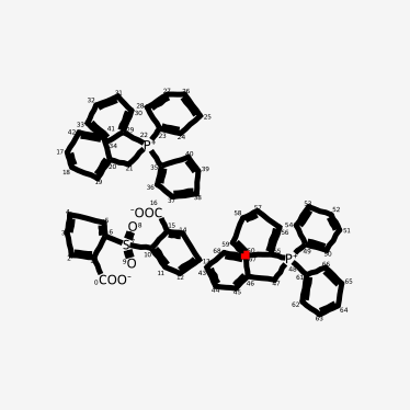 O=C([O-])c1ccccc1S(=O)(=O)c1ccccc1C(=O)[O-].c1ccc(C[P+](c2ccccc2)(c2ccccc2)c2ccccc2)cc1.c1ccc(C[P+](c2ccccc2)(c2ccccc2)c2ccccc2)cc1